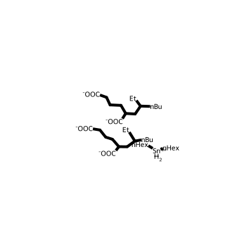 CCCCC(CC)CC(CCCC(=O)[O-])C(=O)[O-].CCCCC(CC)CC(CCCC(=O)[O-])C(=O)[O-].CCCCC[CH2][SnH2+4][CH2]CCCCC